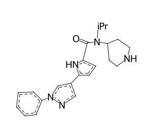 CC(C)N(C(=O)c1ccc(-c2cnn(-c3ccccc3)c2)[nH]1)C1CCNCC1